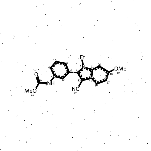 CCn1c(-c2cccc(NC(=O)OC)c2)c(C#N)c2ccc(OC)cc21